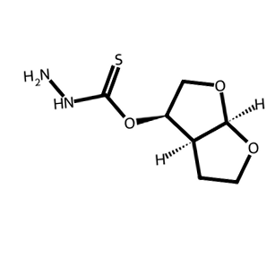 NNC(=S)O[C@H]1CO[C@H]2OCC[C@H]21